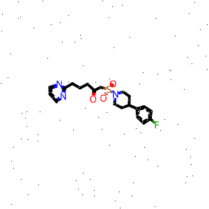 O=C(CCCc1ncccn1)CS(=O)(=O)N1CCC(c2ccc(F)cc2)CC1